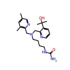 Cc1cnc(CN(CCCCNC(N)=O)Cc2ncccc2C(C)(C)O)c(C)c1